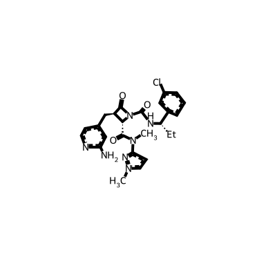 CC[C@H](NC(=O)N1C(=O)[C@H](Cc2ccnc(N)c2)[C@H]1C(=O)N(C)c1ccn(C)n1)c1cccc(Cl)c1